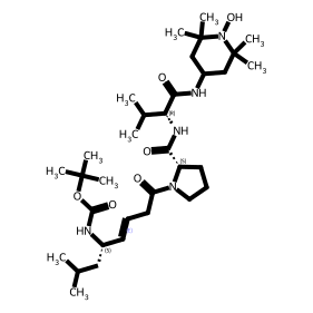 CC(C)C[C@@H](/C=C/CC(=O)N1CCC[C@H]1C(=O)N[C@@H](C(=O)NC1CC(C)(C)N(O)C(C)(C)C1)C(C)C)NC(=O)OC(C)(C)C